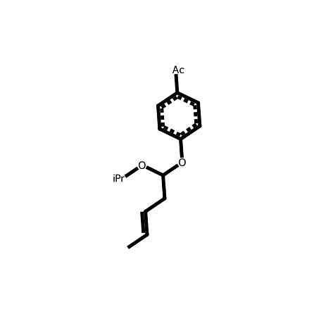 CC=CCC(Oc1ccc(C(C)=O)cc1)OC(C)C